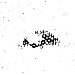 CN(C)c1ccc2c(c1)[Si](C)(C)C1=CC(=[N+](C)C)C=CC1=C2c1ccc(C(=O)NCc2ccc(COc3cc(Cl)nc(N)n3)cc2)cc1C(=O)O